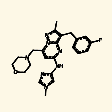 Cc1nn2c(CN3CCOCC3)cc(Nc3cn(C)cn3)nc2c1Cc1cccc(F)c1